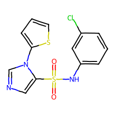 O=S(=O)(Nc1cccc(Cl)c1)c1cncn1-c1cccs1